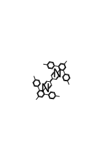 Cc1ccc(-c2cc(C)cc(-c3ccc(C)cc3)c2N2C=CC(=C3C=CN(c4c(-c5ccc(C)cc5)cc(C)cc4-c4ccc(C)cc4)C=C3)C=C2)cc1